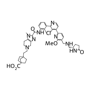 COc1nc(-c2ccnc(-c3cccc(NC(=O)c4nc5c(n4C)CCN(CCC46CCC(C(=O)O)(CC4)C6)C5)c3C)c2Cl)ccc1CNC[C@H]1CCC(=O)N1